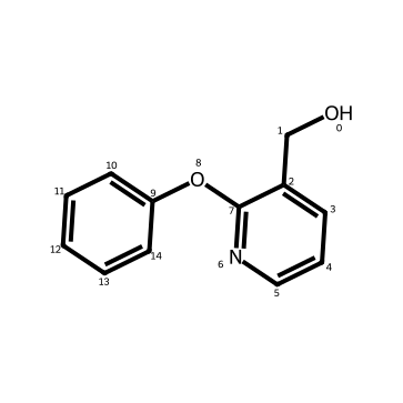 OCc1cccnc1Oc1ccccc1